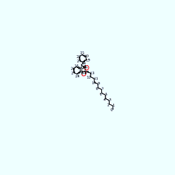 CCCCCCCCCCCCCCC(=O)O[SiH](c1ccccc1)c1ccccc1